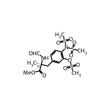 COC(=O)[C@](C)(Cc1ccc(N(S(C)(=O)=O)S(C)(=O)=O)c(OS(C)(=O)=O)c1)NC=O